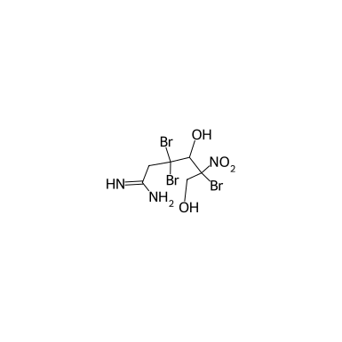 N=C(N)CC(Br)(Br)C(O)C(Br)(CO)[N+](=O)[O-]